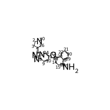 CN1CCC(c2nnc3ccc(O[C@@H]4CC[C@H](N)c5ccccc54)cn23)C1